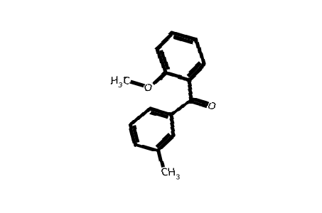 COc1ccccc1C(=O)c1cccc(C)c1